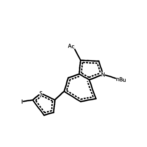 CCCCn1cc(C(C)=O)c2cc(-c3ccc(I)s3)ccc21